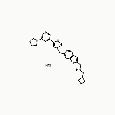 Cl.c1cc2cc(CNCC3CCC3)[nH]c2cc1Cn1cc(-c2cncc(N3CCCC3)c2)nn1